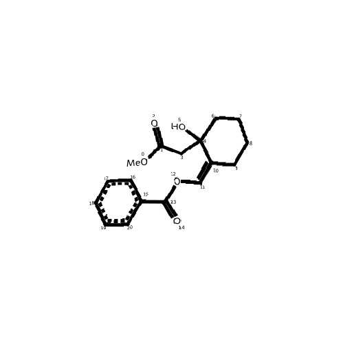 COC(=O)CC1(O)CCCCC1=COC(=O)c1ccccc1